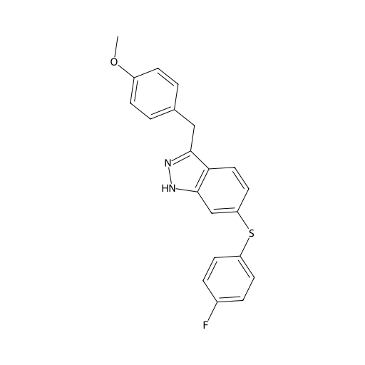 COc1ccc(Cc2n[nH]c3cc(Sc4ccc(F)cc4)ccc23)cc1